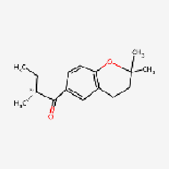 CC[C@@H](C)C(=O)c1ccc2c(c1)CCC(C)(C)O2